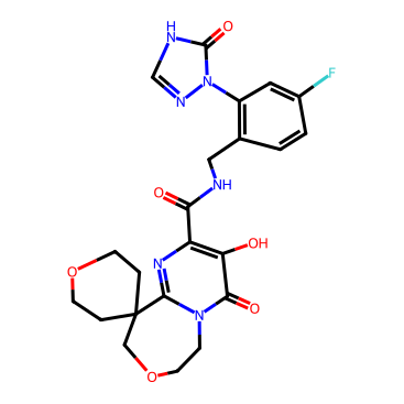 O=C(NCc1ccc(F)cc1-n1nc[nH]c1=O)c1nc2n(c(=O)c1O)CCOCC21CCOCC1